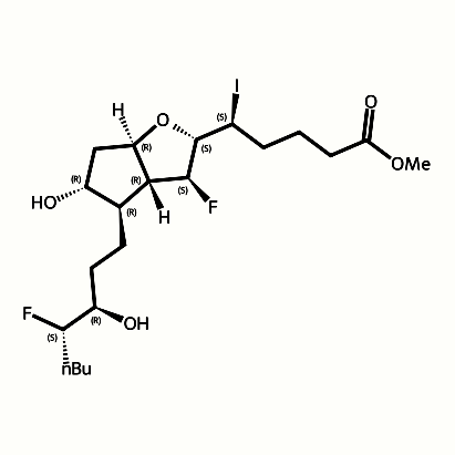 CCCC[C@H](F)[C@H](O)CC[C@@H]1[C@H]2[C@H](F)[C@@H]([C@@H](I)CCCC(=O)OC)O[C@@H]2C[C@H]1O